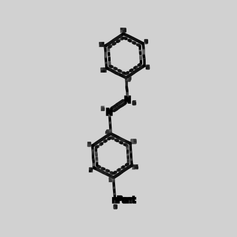 CCCCCc1ccc(/N=N/c2ccccc2)cc1